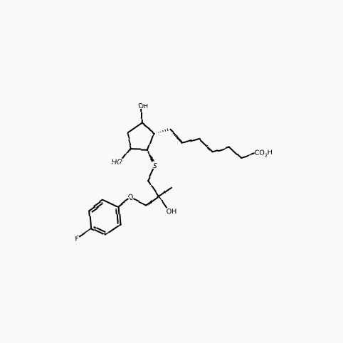 CC(O)(COc1ccc(F)cc1)CS[C@H]1C(O)CC(O)[C@@H]1CCCCCCC(=O)O